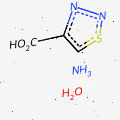 N.O.O=C(O)c1csnn1